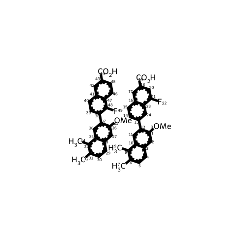 COc1cc2ccc(C)c(C)c2cc1-c1ccc2cc(C(=O)O)cc(F)c2c1.COc1cc2ccc(C)c(C)c2cc1-c1ccc2cc(C(=O)O)ccc2c1F